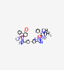 CN(C)[C@@H](C(=O)N1CCC[C@H]1c1ncc(-c2ccc(-c3ccc(-c4cnc([C@@H]5CCCN5C(=O)c5ccccc5-c5ccccc5C=O)[nH]4)cc3)cc2)[nH]1)c1ccccc1